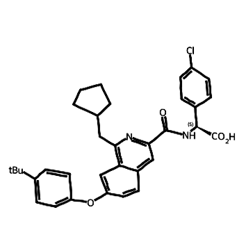 CC(C)(C)c1ccc(Oc2ccc3cc(C(=O)N[C@H](C(=O)O)c4ccc(Cl)cc4)nc(CC4CCCC4)c3c2)cc1